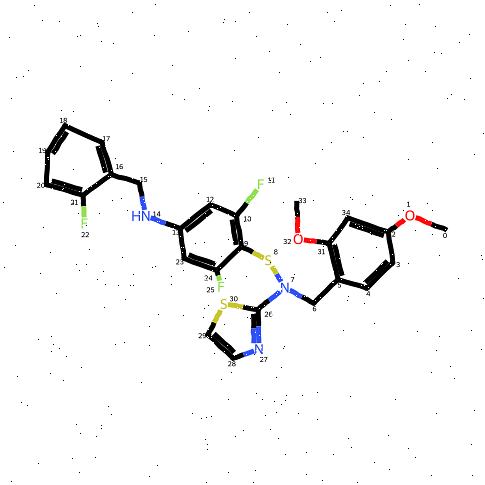 COc1ccc(CN(Sc2c(F)cc(NCc3ccccc3F)cc2F)c2nccs2)c(OC)c1